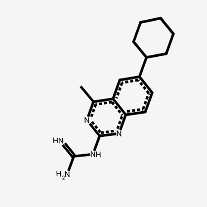 Cc1nc(NC(=N)N)nc2ccc(C3CCCCC3)cc12